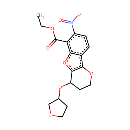 CCOC(=O)c1c([N+](=O)[O-])ccc2c3c(oc12)C(OC1CCOC1)CCO3